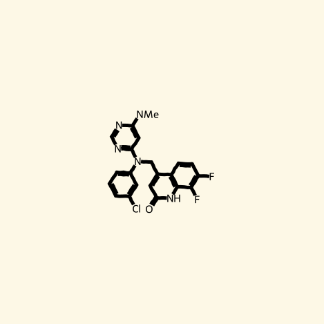 CNc1cc(N(Cc2cc(=O)[nH]c3c(F)c(F)ccc23)c2cccc(Cl)c2)ncn1